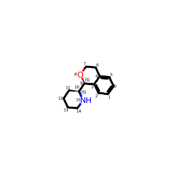 c1ccc2c(c1)CCO[C@@H]2[C@@H]1CCCCN1